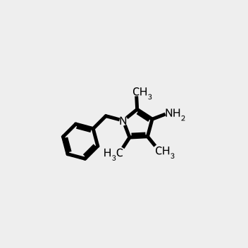 Cc1c(N)c(C)n(Cc2ccccc2)c1C